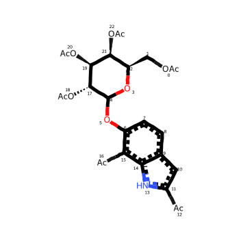 CC(=O)OC[C@H]1OC(Oc2ccc3cc(C(C)=O)[nH]c3c2C(C)=O)[C@H](OC(C)=O)[C@@H](OC(C)=O)[C@H]1OC(C)=O